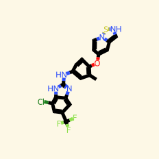 Cc1cc(Nc2nc3cc(C(F)(F)F)cc(Cl)c3[nH]2)ccc1OC1=CC2=CNSN2C=C1